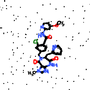 COc1ccnc(NC(=O)c2ccc(CN3C(=O)c4c(ncn4C)NC(=O)C3Cc3ccccn3)cc2Cl)c1